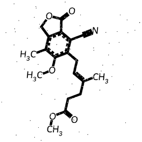 COC(=O)CC/C(C)=C/Cc1c(C#N)c2c(c(C)c1OC)COC2=O